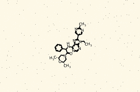 CCn1c(-c2cnc(C)nc2)nc2c(NC(C(=O)N3C[C@@H](C)O[C@@H](C)C3)c3ccccc3)ncnc21